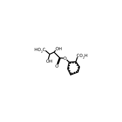 O=C(O)c1ccccc1OC(=O)C(O)C(O)C(=O)O